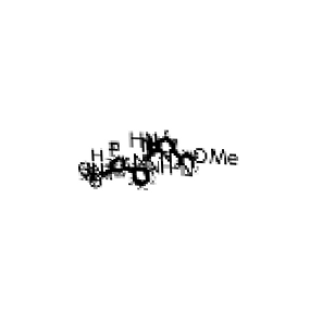 COc1cncc(-c2ccc3[nH]nc(-c4nc5c(-c6cc(F)cc(CNS(C)(=O)=O)c6)cccc5[nH]4)c3n2)c1